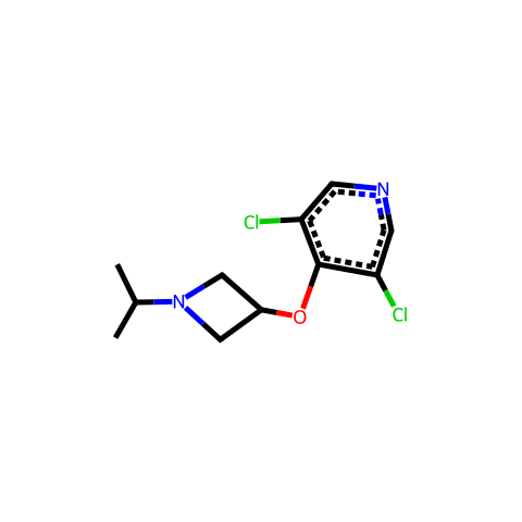 CC(C)N1CC(Oc2c(Cl)cncc2Cl)C1